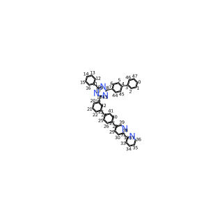 c1ccc(-c2ccc(-c3nc(-c4ccccc4)nc(-c4cccc(-c5ccc(-c6ccc(-c7ccccn7)nc6)cc5)c4)n3)cc2)cc1